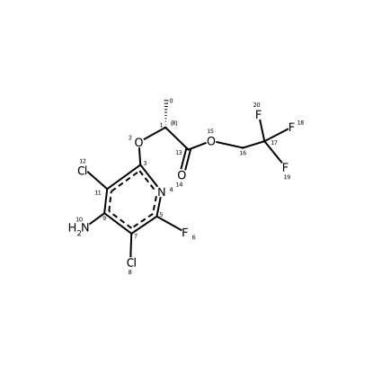 C[C@@H](Oc1nc(F)c(Cl)c(N)c1Cl)C(=O)OCC(F)(F)F